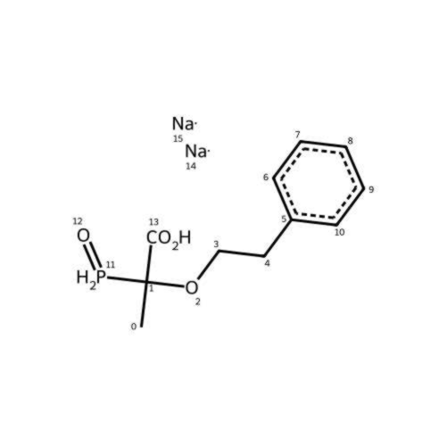 CC(OCCc1ccccc1)([PH2]=O)C(=O)O.[Na].[Na]